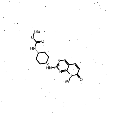 CC(C)n1c(=O)ccc2cnc(N[C@H]3CC[C@@H](NC(=O)OC(C)(C)C)CC3)nc21